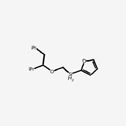 CC(C)CC(OC[SiH2]c1ccco1)C(C)C